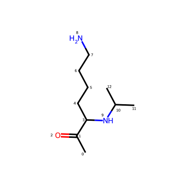 CC(=O)C(CCCCN)NC(C)C